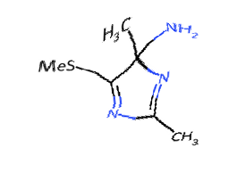 CSC1=NC(C)=NC1(C)N